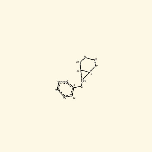 c1ccc(CN2C3CCCCC32)cc1